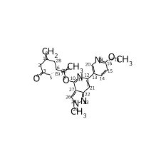 C=C1CC(=O)C[C@@H]([C@@H](C)Oc2nc(-c3ccc(OC)nc3)cc3nn(C)cc23)C1